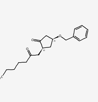 O=C(O)CCCCC(=O)C[C@@H]1C[C@H](OCc2ccccc2)CC1=O